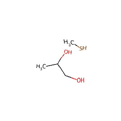 CC(O)CO.CS